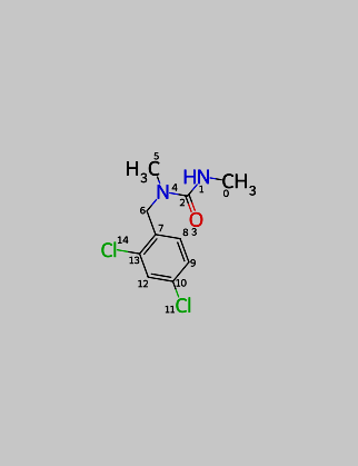 CNC(=O)N(C)Cc1ccc(Cl)cc1Cl